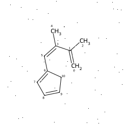 C=C(C)C(C)=CC1=CC=CC1